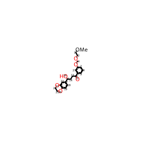 COCCOCOc1cccc(C(=O)CCC(O)c2ccc3c(c2)OCCO3)c1